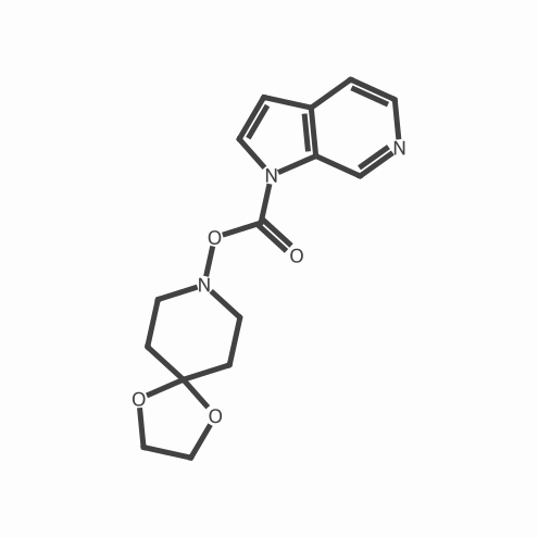 O=C(ON1CCC2(CC1)OCCO2)n1ccc2ccncc21